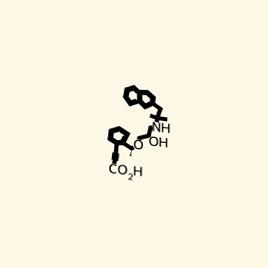 C[C@@H](OC[C@H](O)CNC(C)(C)Cc1ccc2ccccc2c1)c1ccccc1C#CC(=O)O